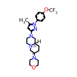 Cc1cc(N2CCN3C[C@H](N4CCOCC4)CC[C@H]3C2)nn1-c1ccc(OC(F)(F)F)cc1